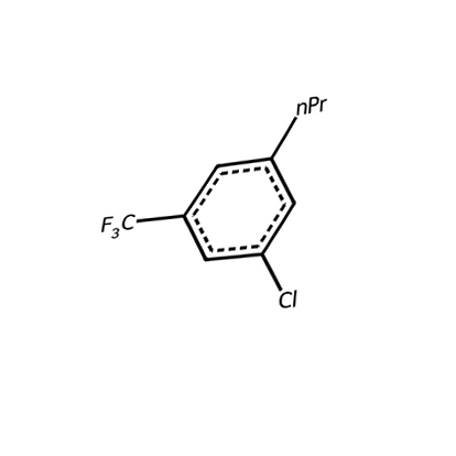 [CH2]CCc1cc(Cl)cc(C(F)(F)F)c1